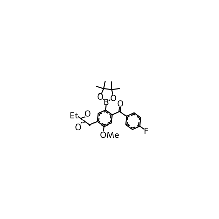 CCS(=O)(=O)Cc1cc(B2OC(C)(C)C(C)(C)O2)c(C(=O)c2ccc(F)cc2)cc1OC